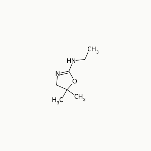 CCNC1=NCC(C)(C)O1